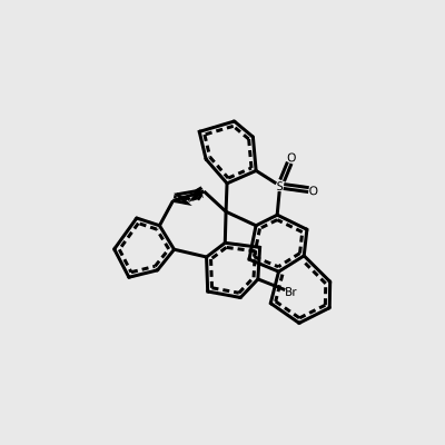 O=S1(=O)c2ccccc2C2(c3ccccc3-c3ccccc3-c3ccc(Br)cc32)c2cc3ccccc3cc21